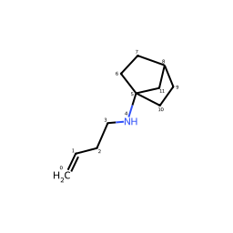 C=CCCNC12CCC(CC1)C2